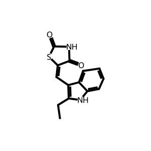 CCc1[nH]c2ccccc2c1/C=C1/SC(=O)NC1=O